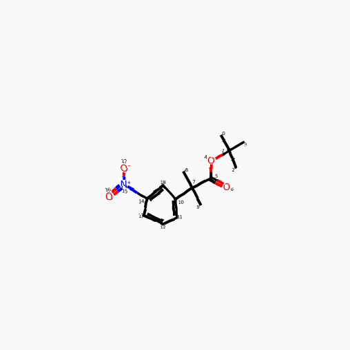 CC(C)(C)OC(=O)C(C)(C)c1cccc([N+](=O)[O-])c1